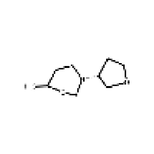 CC1CCN([C@@H]2CCOC2)CC1